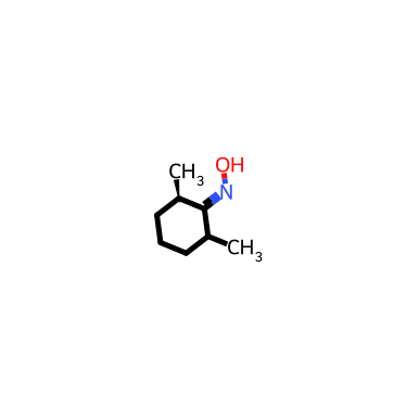 CC1CCC[C@@H](C)/C1=N\O